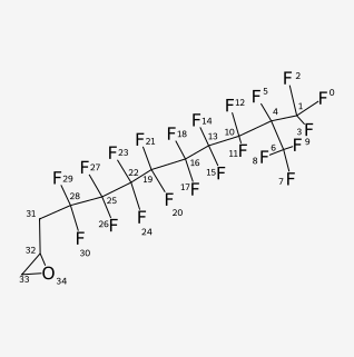 FC(F)(F)C(F)(C(F)(F)F)C(F)(F)C(F)(F)C(F)(F)C(F)(F)C(F)(F)C(F)(F)C(F)(F)CC1CO1